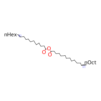 CCCCCC/C=C/CCCCCCCCCC(=O)OC(=O)CCCCCCCCCCC/C=C\CCCCCCCC